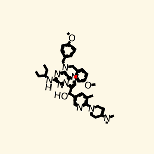 CCC(CC)Nc1nc(N(Cc2ccc(OC)cc2)Cc2ccc(OC)cc2)c2ncc(C(O)c3cnc(N4CCC(N(C)C)CC4)c(C)c3)n2n1